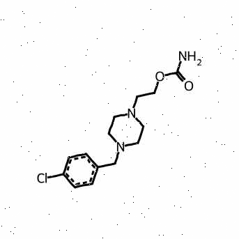 NC(=O)OCCN1CCN(Cc2ccc(Cl)cc2)CC1